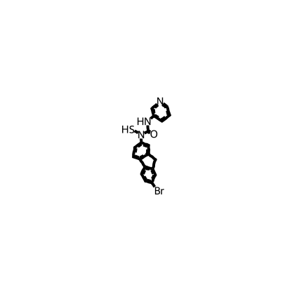 O=C(Nc1cccnc1)N(S)c1ccc2c(c1)Cc1cc(Br)ccc1-2